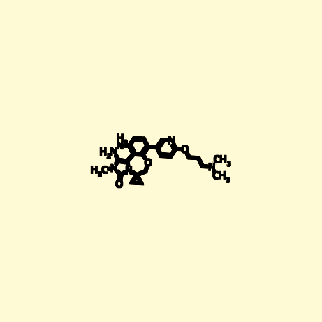 CN(C)CCCOc1ccc(-c2ccc(N)c3c2OCC2(CC2)n2c-3c(N)n(C)c2=O)cn1